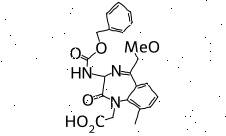 COCC1=NC(NC(=O)OCc2ccccc2)C(=O)N(CC(=O)O)c2c(C)cccc21